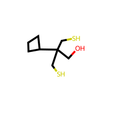 OCC(CS)(CS)C1CCC1